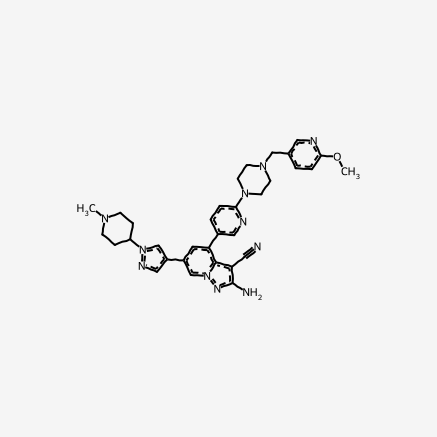 COc1ccc(CN2CCN(c3ccc(-c4cc(-c5cnn(C6CCN(C)CC6)c5)cn5nc(N)c(C#N)c45)cn3)CC2)cn1